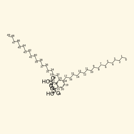 CCCCCCCCCCCCCCCCCCc1ccc(S(=O)(=O)O)c(S(=O)(=O)O)c1CCCCCCCCCCCCCCCCCC